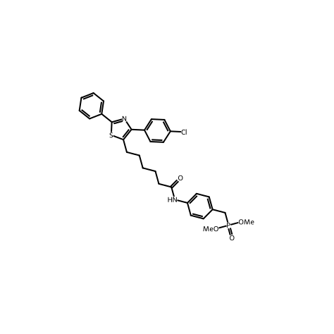 COP(=O)(Cc1ccc(NC(=O)CCCCCc2sc(-c3ccccc3)nc2-c2ccc(Cl)cc2)cc1)OC